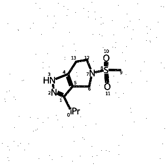 CC(C)c1n[nH]c2c1CN(S(C)(=O)=O)CC2